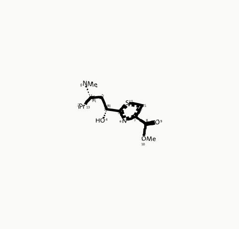 CN[C@H](C[C@@H](O)c1nc(C(=O)OC)cs1)C(C)C